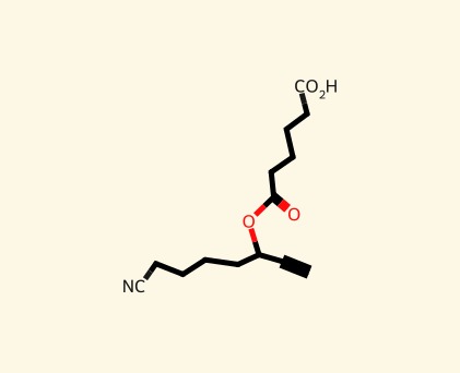 C#CC(CCCCC#N)OC(=O)CCCCC(=O)O